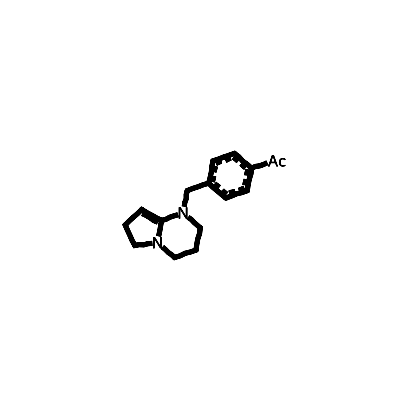 CC(=O)c1ccc(CN2CCCN3CCC=C32)cc1